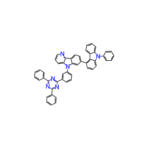 c1ccc(-c2nc(-c3ccccc3)nc(-c3cccc(-n4c5cc(-c6cccc7c6c6ccccc6n7-c6ccccc6)ccc5c5ncccc54)c3)n2)cc1